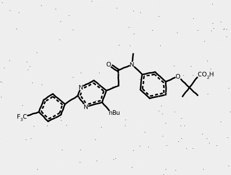 CCCCc1nc(-c2ccc(C(F)(F)F)cc2)ncc1CC(=O)N(C)c1cccc(OC(C)(C)C(=O)O)c1